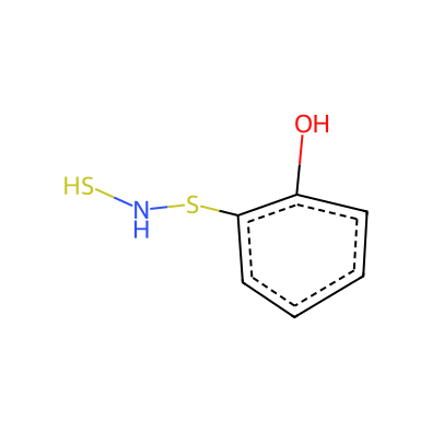 Oc1ccccc1SNS